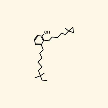 CCC(C)(C)CCCCCCc1cccc(O)c1CCCCCC1(C)CC1